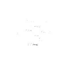 CC(=N)O[C@H]1OC(COC(C)=O)[C@H](OC(C)=O)C(OC(C)=O)C1OC(C)=O